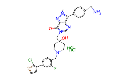 Cl.Cl.Cn1nc2c(=O)n(CC3(O)CCN(Cc4ccc(-c5ccsc5Cl)cc4F)CC3)cnc2c1-c1ccc(CN)cc1